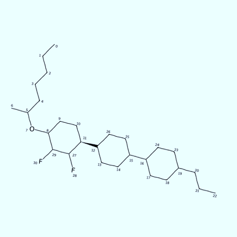 CCCCCC(C)OC1CC[C@@H](C2CCC(C3CCC(CCC)CC3)CC2)C(F)C1F